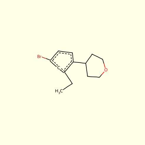 CCc1cc(Br)ccc1C1CCOCC1